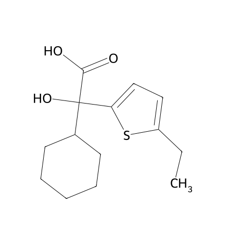 CCc1ccc(C(O)(C(=O)O)C2CCCCC2)s1